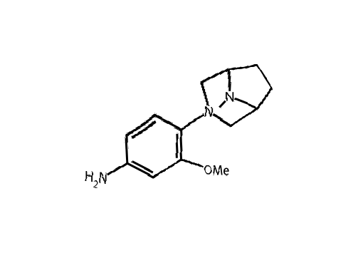 COc1cc(N)ccc1N1CC2CCC(C1)N2C